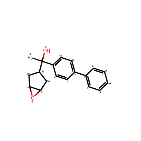 CCC(O)(c1ccc(-c2ccccc2)cc1)C1CC2OC2C1